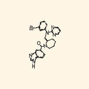 O=C(c1ccc2[nH]cnc2c1)N1CCCCC1CN(c1cccc(Br)c1)c1ncccn1